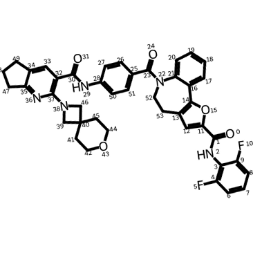 O=C(Nc1c(F)cccc1F)c1cc2c(o1)-c1ccccc1N(C(=O)c1ccc(NC(=O)c3cc4c(nc3N3CC5(CCOCC5)C3)CCC4)cc1)CC2